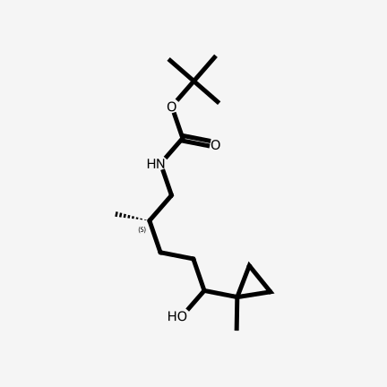 C[C@@H](CCC(O)C1(C)CC1)CNC(=O)OC(C)(C)C